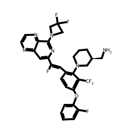 NC[C@@H]1CCCN(c2c(/C=C(\F)c3cc4nccnc4c(N4CC(F)(F)C4)n3)ccc(Oc3ccccc3F)c2C(F)(F)F)C1